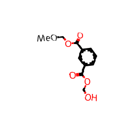 COCOC(=O)c1cccc(C(=O)OCO)c1